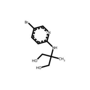 CC(CO)(CO)Nc1ccc(Br)cn1